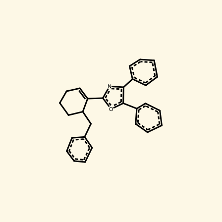 C1=C(c2nc(-c3ccccc3)c(-c3ccccc3)o2)C(Cc2ccccc2)CCC1